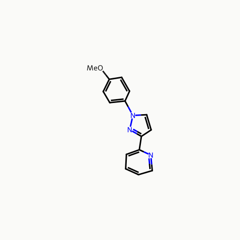 COc1ccc(-n2ccc(-c3ccccn3)n2)cc1